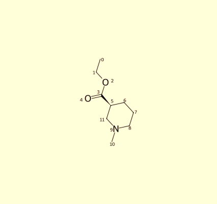 CCOC(=O)[C@H]1CCCN(C)C1